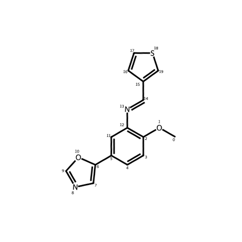 COc1ccc(-c2cnco2)cc1N=Cc1ccsc1